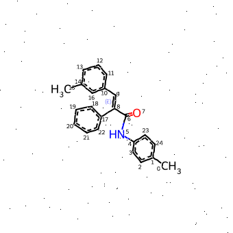 Cc1ccc(NC(=O)/C(=C/c2cccc(C)c2)c2ccccc2)cc1